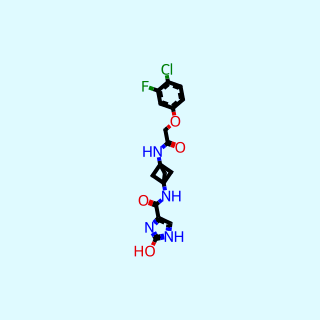 O=C(COc1ccc(Cl)c(F)c1)NC12CC(NC(=O)c3c[nH]c(O)n3)(C1)C2